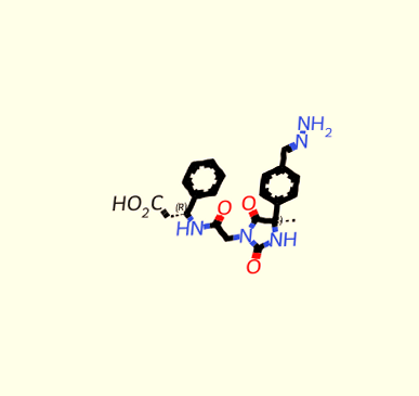 C[C@]1(c2ccc(C=NN)cc2)NC(=O)N(CC(=O)N[C@H](CC(=O)O)c2ccccc2)C1=O